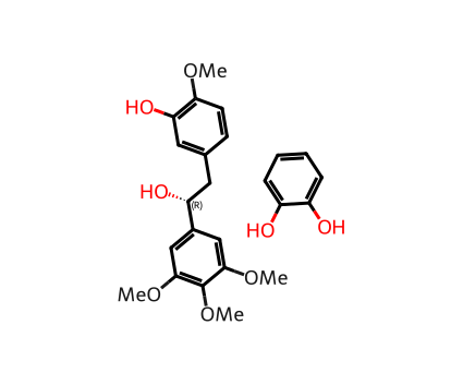 COc1ccc(C[C@@H](O)c2cc(OC)c(OC)c(OC)c2)cc1O.Oc1ccccc1O